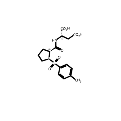 Cc1ccc(S(=O)(=O)N2CCC[C@H]2C(=O)N[C@@H](CC(=O)O)C(=O)O)cc1